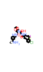 C=C=C(N)C1=CCCC(CNC(=O)[C@@H]2CC3(CN2C(O)CNC(=O)C2/C=C/c4ccc(Cl)cc4C(F)(I)/C=C/C2)OCCO3)=C1